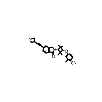 Cc1cc(O[C@H]2C(C)(C)[C@H](N3Cc4cc(C#CC5CNC5)ccc4C3=O)C2(C)C)ccc1C#N